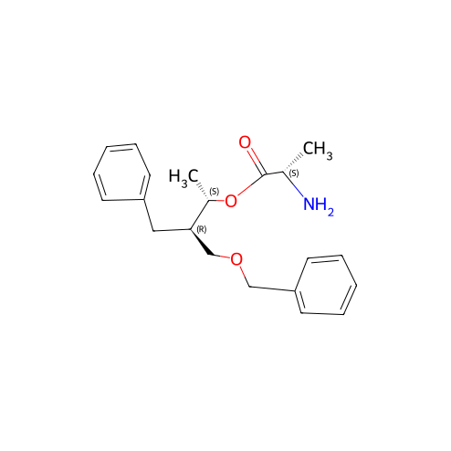 C[C@H](N)C(=O)O[C@@H](C)[C@@H](COCc1ccccc1)Cc1ccccc1